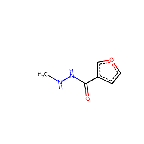 CNNC(=O)c1ccoc1